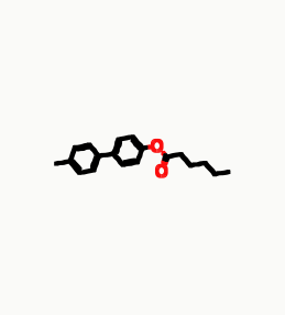 CCCCCC(=O)Oc1ccc(-c2ccc(C)cc2)cc1